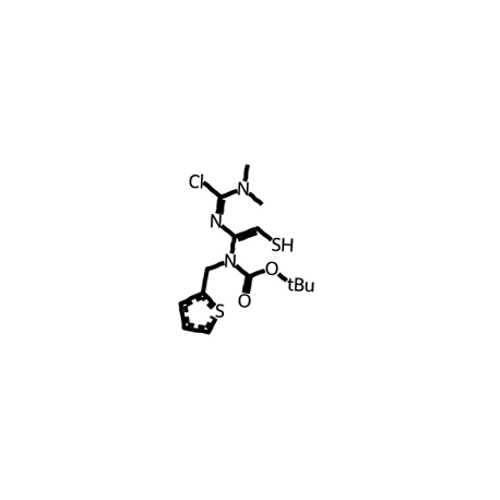 CN(C)/C(Cl)=N\C(=C\S)N(Cc1cccs1)C(=O)OC(C)(C)C